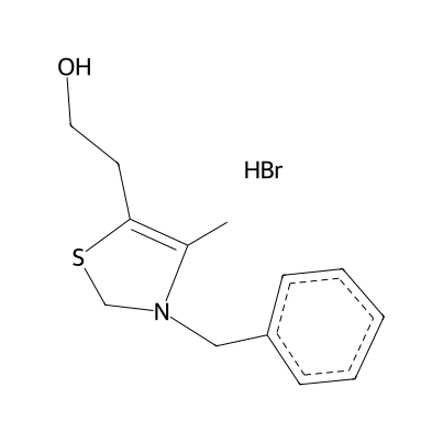 Br.CC1=C(CCO)SCN1Cc1ccccc1